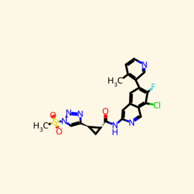 Cc1ccncc1-c1cc2cc(NC(=O)[C@@H]3C[C@H]3c3cn(S(C)(=O)=O)nn3)ncc2c(Cl)c1F